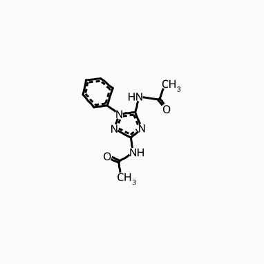 CC(=O)Nc1nc(NC(C)=O)n(-c2ccccc2)n1